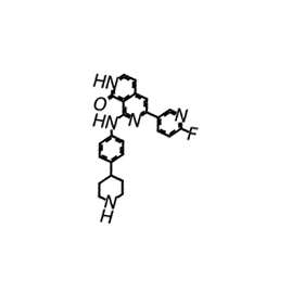 O=c1[nH]ccc2cc(-c3ccc(F)nc3)nc(Nc3ccc(C4CCNCC4)cc3)c12